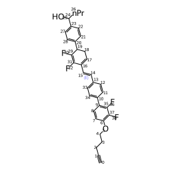 C#CCCCOc1ccc(-c2ccc(/C=C/C3=CCC(c4ccc(C(O)CCC)cc4)C(F)=C3F)cc2)c(F)c1F